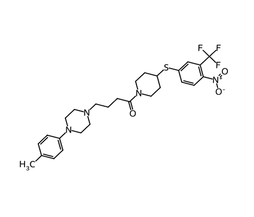 Cc1ccc(N2CCN(CCCC(=O)N3CCC(Sc4ccc([N+](=O)[O-])c(C(F)(F)F)c4)CC3)CC2)cc1